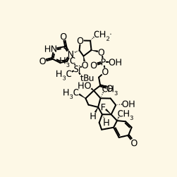 [CH2][C@H]1O[C@@H](n2ccc(=O)[nH]c2=O)[C@H](O[Si](C)(C)C(C)(C)C)[C@@H]1OP(=O)(O)OCC(=O)[C@@]1(O)[C@H](C)C[C@H]2[C@@H]3CCC4=CC(=O)C=C[C@]4(C)[C@@]3(F)[C@@H](O)C[C@@]21C